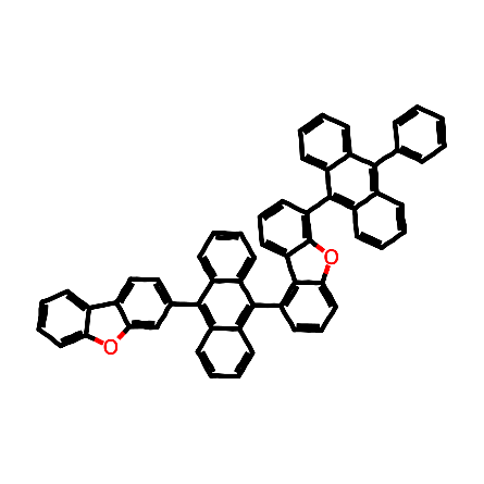 c1ccc(-c2c3ccccc3c(-c3cccc4c3oc3cccc(-c5c6ccccc6c(-c6ccc7c(c6)oc6ccccc67)c6ccccc56)c34)c3ccccc23)cc1